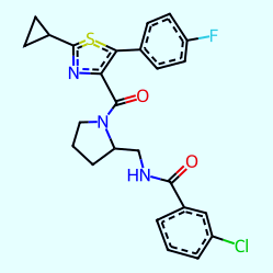 O=C(NCC1CCCN1C(=O)c1nc(C2CC2)sc1-c1ccc(F)cc1)c1cccc(Cl)c1